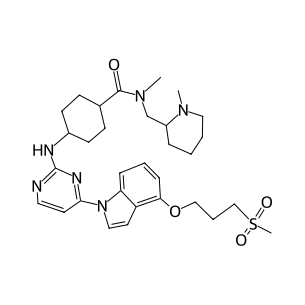 CN(CC1CCCCN1C)C(=O)C1CCC(Nc2nccc(-n3ccc4c(OCCCS(C)(=O)=O)cccc43)n2)CC1